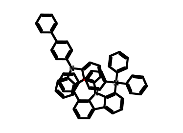 c1ccc(-c2ccc(-n3c4ccccc4c4c(-n5c6c(-c7ccccc7)cccc6c6cccc([Si](c7ccccc7)(c7ccccc7)c7ccccc7)c65)cccc43)cc2)cc1